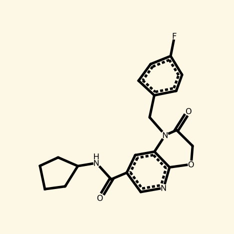 O=C(NC1CCCC1)c1cnc2c(c1)N(Cc1ccc(F)cc1)C(=O)CO2